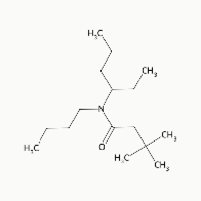 CCCCN(C(=O)CC(C)(C)C)C(CC)CCC